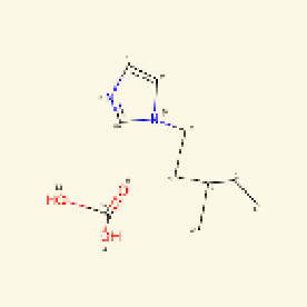 CCC(C)CCn1ccnc1.O=C(O)O